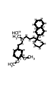 COc1ccc(CCN(C)CCCC2(c3ccc4ccccc4c3)SCCCS2)cc1OC.Cl